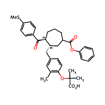 CSc1ccc(C(=O)[C@H]2CCCC(C(=O)Oc3ccccc3)C[C@@H]2Cc2ccc(OC(C)(C)C(=O)O)c(C)c2)cc1